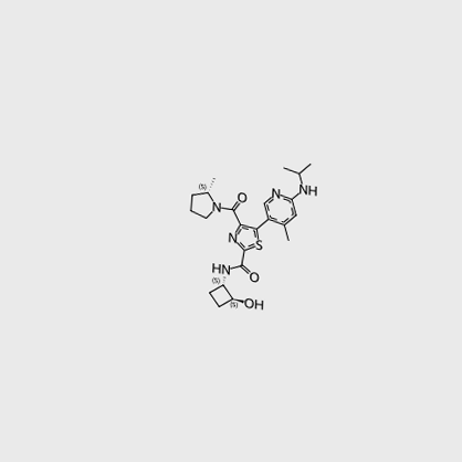 Cc1cc(NC(C)C)ncc1-c1sc(C(=O)N[C@H]2CC[C@@H]2O)nc1C(=O)N1CCC[C@@H]1C